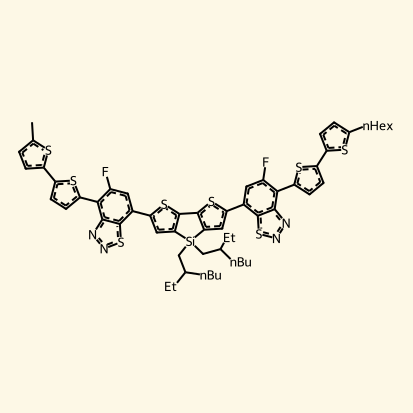 CCCCCCc1ccc(-c2ccc(-c3c(F)cc(-c4cc5c(s4)-c4sc(-c6cc(F)c(-c7ccc(-c8ccc(C)s8)s7)c7nnsc67)cc4[Si]5(CC(CC)CCCC)CC(CC)CCCC)c4snnc34)s2)s1